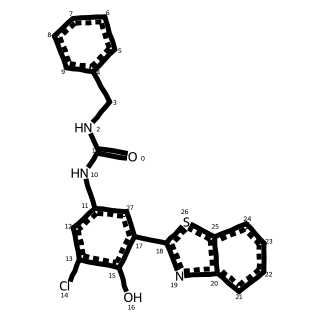 O=C(NCc1ccccc1)Nc1cc(Cl)c(O)c(-c2nc3ccccc3s2)c1